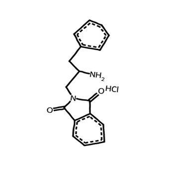 Cl.NC(Cc1ccccc1)CN1C(=O)c2ccccc2C1=O